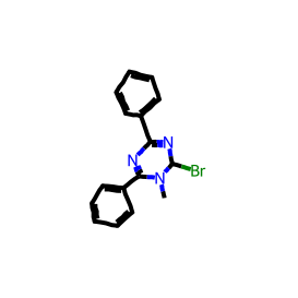 CN1C(c2ccccc2)=NC(c2ccccc2)=NC1Br